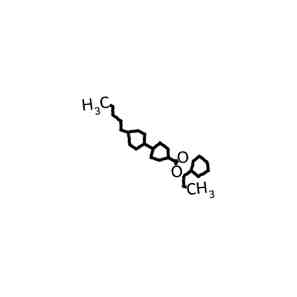 CCCCCC1CCC(C2CCC(C(=O)OC(CC)C3CCCCC3)CC2)CC1